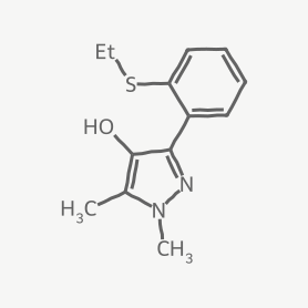 CCSc1ccccc1-c1nn(C)c(C)c1O